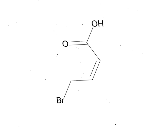 O=C(O)/C=C\CBr